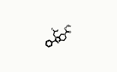 CC(C)(C)OC(=O)N1CCc2nc(-c3ccccc3)n(CC(F)F)c2C1